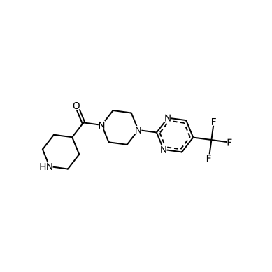 O=C(C1CCNCC1)N1CCN(c2ncc(C(F)(F)F)cn2)CC1